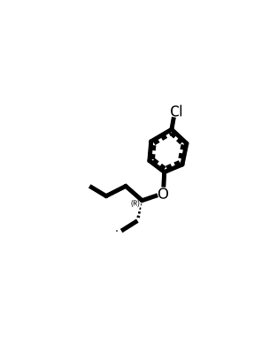 [CH2]C[C@H](CCC)Oc1ccc(Cl)cc1